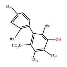 Cc1c(C(=O)O)c(-c2ccc(C(C)(C)C)cc2C(C)(C)C)c(C(C)(C)C)c(O)c1C(C)(C)C